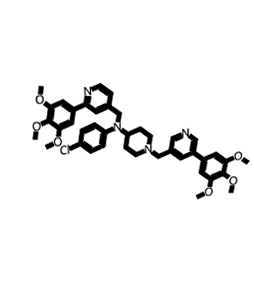 COc1cc(-c2cncc(CN3CCC(N(Cc4ccnc(-c5cc(OC)c(OC)c(OC)c5)c4)c4ccc(Cl)cc4)CC3)c2)cc(OC)c1OC